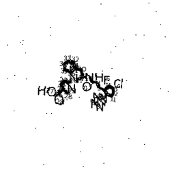 O=C(/C=C/c1c(-n2cnnn2)ccc(Cl)c1F)NC(CNc1ccc(C(=O)O)cn1)Cc1ccccc1